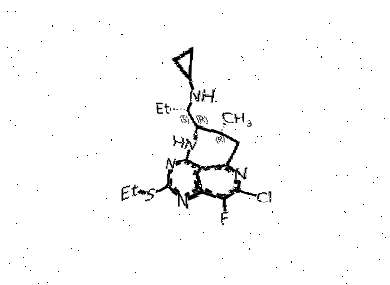 CCSc1nc2c3c(nc(Cl)c(F)c3n1)C[C@@H](C)[C@H]([C@H](CC)NC1CC1)N2